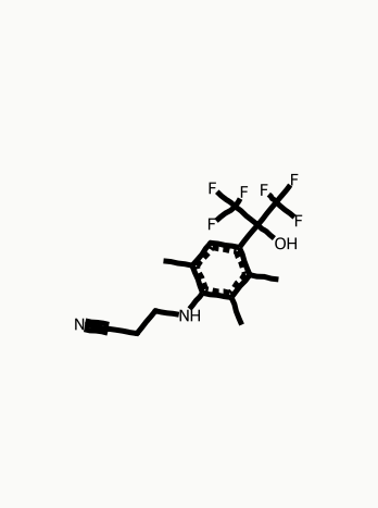 Cc1cc(C(O)(C(F)(F)F)C(F)(F)F)c(C)c(C)c1NCCC#N